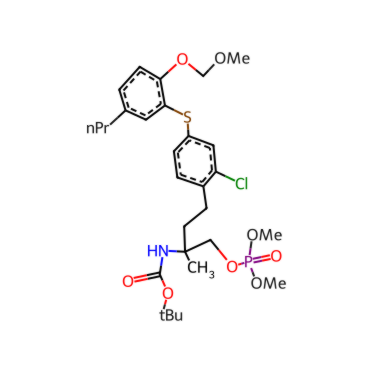 CCCc1ccc(OCOC)c(Sc2ccc(CCC(C)(COP(=O)(OC)OC)NC(=O)OC(C)(C)C)c(Cl)c2)c1